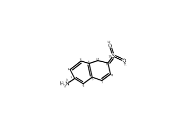 Nc1ccc2c(c1)C=CC(=S(=O)=O)C2